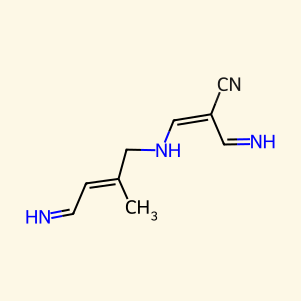 C/C(=C\C=N)CN/C=C(/C#N)C=N